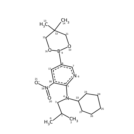 CC(C)CN(c1ncc(B2OCC(C)(C)CO2)cc1[N+](=O)[O-])C1CCCCC1